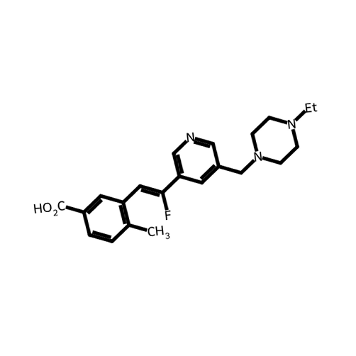 CCN1CCN(Cc2cncc(/C(F)=C/c3cc(C(=O)O)ccc3C)c2)CC1